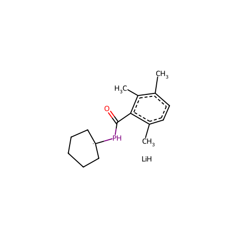 Cc1ccc(C)c(C(=O)P[C]2CCCCC2)c1C.[LiH]